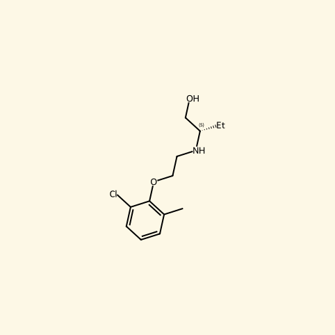 CC[C@@H](CO)NCCOc1c(C)cccc1Cl